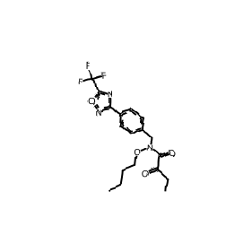 CCCCON(Cc1ccc(-c2noc(C(F)(F)F)n2)cc1)C(=O)C(=O)CC